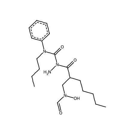 CCCCCC(CN(O)C=O)C(=O)N(N)C(=O)N(CCCC)c1ccccc1